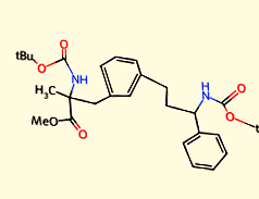 COC(=O)C(C)(Cc1cccc(CCC(NC(=O)OC(C)(C)C)c2ccccc2)c1)NC(=O)OC(C)(C)C